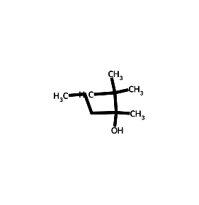 CCCC(C)(O)C(C)(C)C